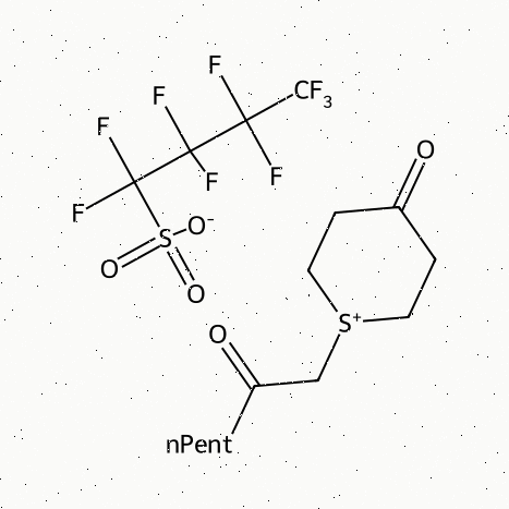 CCCCCC(=O)C[S+]1CCC(=O)CC1.O=S(=O)([O-])C(F)(F)C(F)(F)C(F)(F)C(F)(F)F